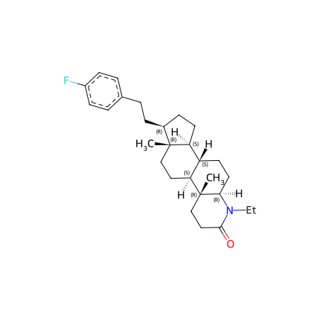 CCN1C(=O)CC[C@]2(C)[C@H]3CC[C@]4(C)[C@@H](CCc5ccc(F)cc5)CC[C@H]4[C@@H]3CC[C@@H]12